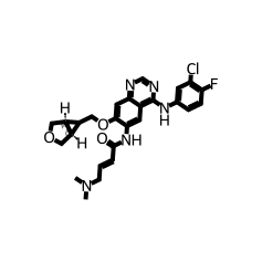 CN(C)CC=CC(=O)Nc1cc2c(Nc3ccc(F)c(Cl)c3)ncnc2cc1OCC1[C@H]2COC[C@@H]12